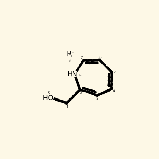 OCC1=CC=CC=CN1.[H+]